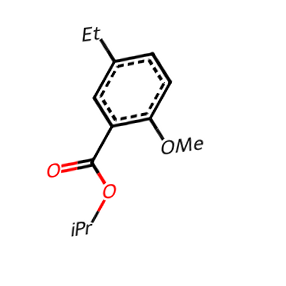 CCc1ccc(OC)c(C(=O)OC(C)C)c1